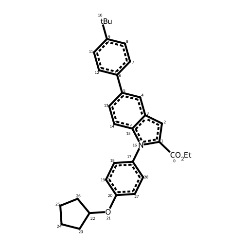 CCOC(=O)c1cc2cc(-c3ccc(C(C)(C)C)cc3)ccc2n1-c1ccc(OC2CCCC2)cc1